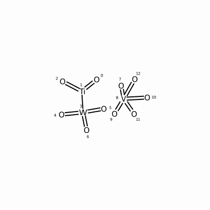 [O]=[Ti](=[O])[W](=[O])(=[O])=[O].[O]=[V](=[O])(=[O])(=[O])=[O]